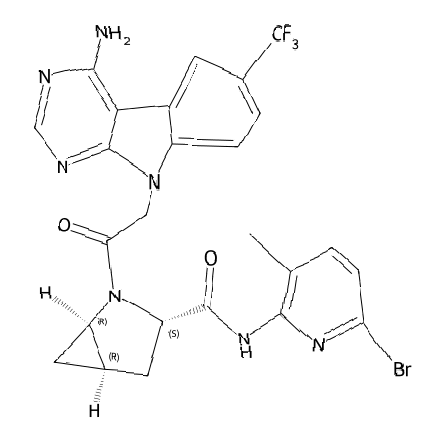 Cc1ccc(Br)nc1NC(=O)[C@@H]1C[C@H]2C[C@H]2N1C(=O)Cn1c2ccc(C(F)(F)F)cc2c2c(N)ncnc21